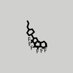 CCCC1CCC(C2Cc3c4c(c(F)c(F)c3C2(F)F)C(F)(F)C=CC4)CC1